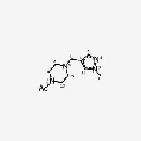 CC(=O)N1CCN(Cc2cnn(C)c2)CC1